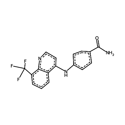 NC(=O)c1ccc(Nc2ccnc3c(C(F)(F)F)cccc23)cc1